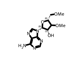 COC[C@H]1O[C@@H](n2cnc3c(N)ncnc32)[C@@H](O)C1OC